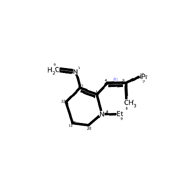 C=NC1=C(/C=C(\C)C(C)C)N(CC)CCC1